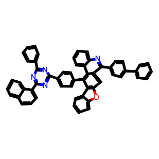 c1ccc(-c2ccc(-c3nc4ccccc4c4c(-c5ccc(-c6nc(-c7ccccc7)nc(-c7cccc8ccccc78)n6)cc5)c5c(cc34)oc3ccccc35)cc2)cc1